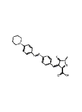 CN1N=C(C(=O)O)/C(=C/c2ccc(/N=N/c3ccc(N4CCCCC4)cc3)cc2)C1=O